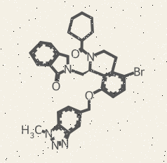 Cn1nnc2cc(COc3ccc(Br)c4c3[C@@H](CN3Cc5ccccc5C3=O)N(C(=O)C3CCCCC3)CC4)ccc21